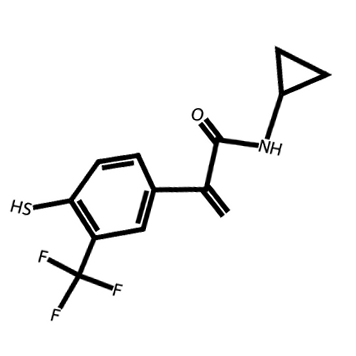 C=C(C(=O)NC1CC1)c1ccc(S)c(C(F)(F)F)c1